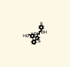 OCc1ccc([C@@H]2[C@@H](CCCC(O)c3ccc(F)cc3)CC(=S)N2c2ccccc2)c(O)c1